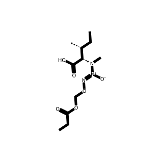 CCC(=O)OCO/N=[N+](\[O-])N(C)[C@H](C(=O)O)[C@H](C)CC